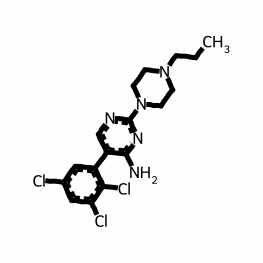 CCCN1CCN(c2ncc(-c3cc(Cl)cc(Cl)c3Cl)c(N)n2)CC1